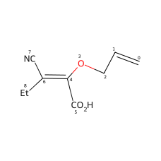 C=CCO/C(C(=O)O)=C(\C#N)CC